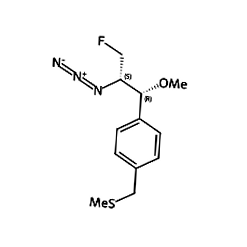 CO[C@H](c1ccc(CSC)cc1)[C@@H](CF)N=[N+]=[N-]